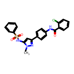 Cn1nc(-c2ccc(NC(=O)c3ccccc3Cl)cc2)cc1NS(=O)(=O)c1ccccc1